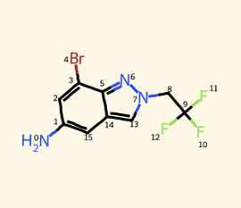 Nc1cc(Br)c2nn(CC(F)(F)F)cc2c1